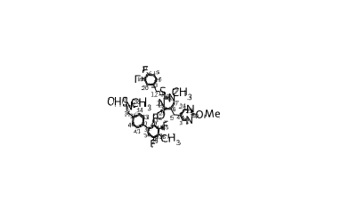 COc1ncc(Cc2cn(C)c(SCc3ccc(F)c(F)c3)nc2=O)cn1.Cc1c(F)cc(-c2ccc(CN(C)C=O)cc2)c(F)c1F